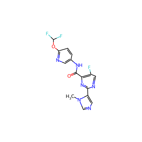 Cn1cncc1-c1ncc(F)c(C(=O)Nc2ccc(OC(F)F)nc2)n1